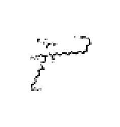 CC(O)C(=O)O.CCCCC/C=C\C/C=C\CCCCCCCC(=O)OC(COC(C)=O)COC(=O)CCCCCCCCCCCCCCC